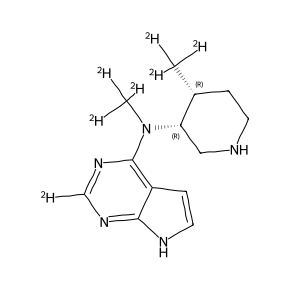 [2H]c1nc(N([C@H]2CNCC[C@H]2C([2H])([2H])[2H])C([2H])([2H])[2H])c2cc[nH]c2n1